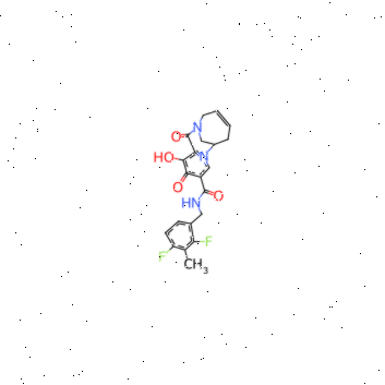 Cc1c(F)ccc(CNC(=O)c2cn3c(c(O)c2=O)C(=O)N2CC=CCC3C2)c1F